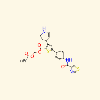 CCCC(=O)OCOC(=O)c1sc(-c2ccc(NC(=O)c3cscn3)cc2)cc1C1C=CNCC1